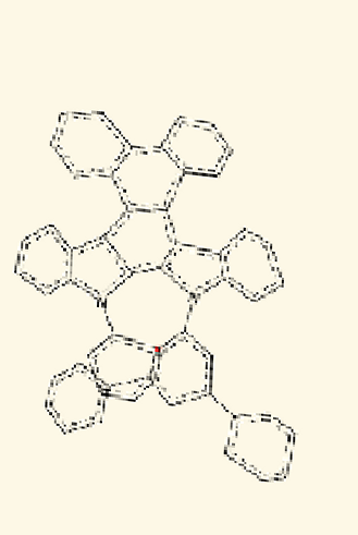 c1ccc(-c2cc(-c3ccccc3)cc(-n3c4ccccc4c4c5c6ccccc6c6ccccc6c5c5c6ccccc6n(-c6ccccc6)c5c43)c2)cc1